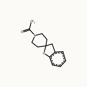 O=C(N1CCC2(CC1)Cc1ccccc1O2)C(F)(F)F